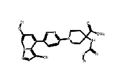 CCOc1cc(-c2ccc(N3CCC(NC(=O)OC(C)C)(C(=O)OC)CC3)nc2)c2c(C#N)cnn2c1